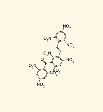 O=C(c1c([N+](=O)[O-])cc([N+](=O)[O-])cc1[N+](=O)[O-])c1c([N+](=O)[O-])cc([N+](=O)[O-])c(C=Cc2c([N+](=O)[O-])cc([N+](=O)[O-])cc2[N+](=O)[O-])c1[N+](=O)[O-]